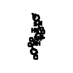 CN1CCc2nc(C(=O)NC(CNC(=O)NC(=O)c3ccc(Cl)cc3)C(=O)N(C)C)sc2C1